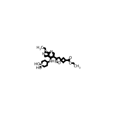 CCOC(=O)C1CC2(CC(c3cnc4c(cnn4CC)c3NC3CCS(O)(O)CC3)=NO2)C1